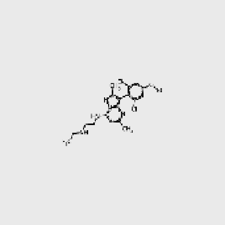 CCOc1cc(Cl)c(-c2c(C)nn3c(NCCNCC(F)(F)F)cc(C)nc23)c(Cl)c1